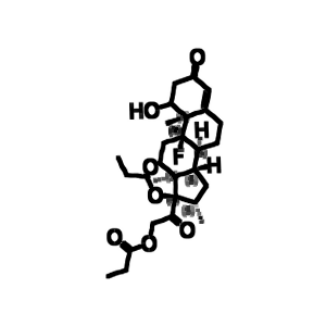 CCC(=O)OCC(=O)[C@@]1(OC(=O)CC)[C@@H](C)C[C@H]2[C@@H]3CCC4=CC(=O)CC(O)[C@@]4(C)[C@@]3(F)CC[C@@]21C